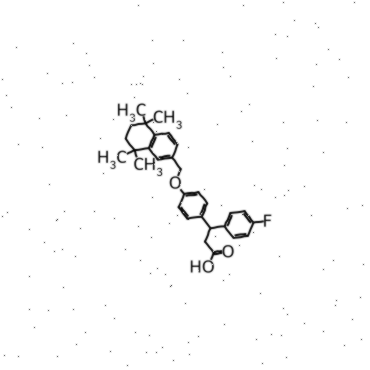 CC1(C)CCC(C)(C)c2cc(COc3ccc(C(CC(=O)O)c4ccc(F)cc4)cc3)ccc21